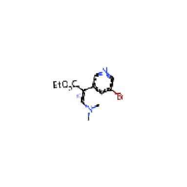 CCOC(=O)/C(=C/N(C)C)c1cncc(Br)c1